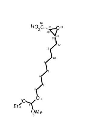 CCOC(OC)OCCCCCCCC[C@@H]1O[C@H]1C(=O)O